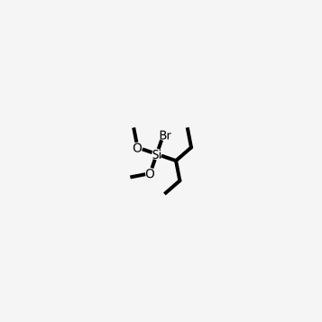 CCC(CC)[Si](Br)(OC)OC